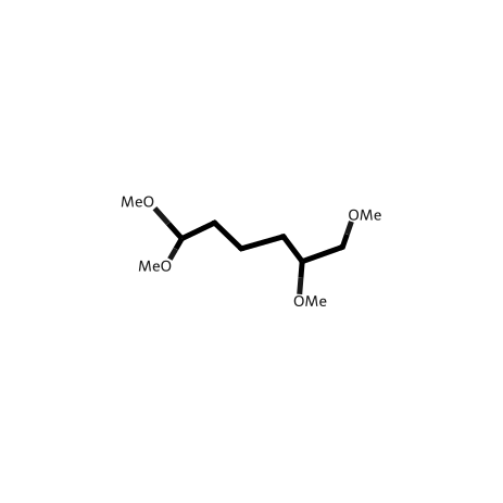 COCC(CCCC(OC)OC)OC